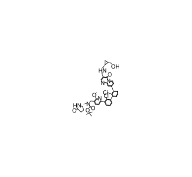 COc1nc(-c2cccc(-c3cccc(-c4ccn5c(=O)c(CNC[C@H]6C[C@H]6CO)cnc5c4)c3Cl)c2Cl)ccc1CN(C[C@@H]1CCC(=O)N1)C(=O)OC(C)(C)C